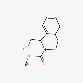 CC(C)(C)OC(=O)N1CCC2CC=CC=C2C1CO